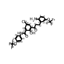 Nc1ccc(OC(F)(F)F)cc1CCC(=O)c1cc(Cl)cc(C(=O)Nc2ccc(OC(F)(F)F)cc2)c1O